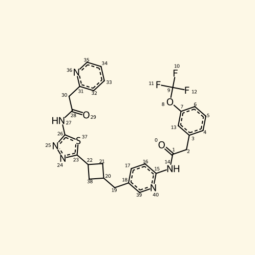 O=C(Cc1cccc(OC(F)(F)F)c1)Nc1ccc(CC2CC(c3nnc(NC(=O)Cc4ccccn4)s3)C2)cn1